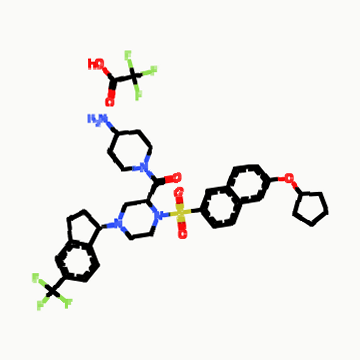 NC1CCN(C(=O)[C@@H]2CN([C@@H]3CCc4cc(C(F)(F)F)ccc43)CCN2S(=O)(=O)c2ccc3cc(OC4CCCC4)ccc3c2)CC1.O=C(O)C(F)(F)F